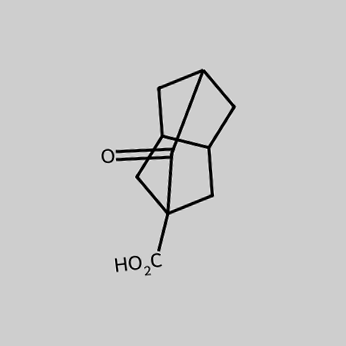 O=C(O)C12CC3CC(CC3C1)C2=O